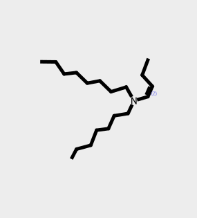 CC/C=C\N(CCCCCCC)CCCCCCCC